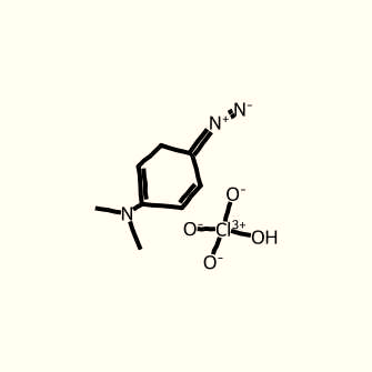 CN(C)C1=CCC(=[N+]=[N-])C=C1.[O-][Cl+3]([O-])([O-])O